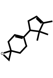 CC1=CCC(C2=CCC3(CC2)CO3)C1(C)C